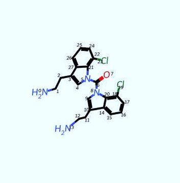 NCCc1cn(C(=O)n2cc(CCN)c3cccc(Cl)c32)c2c(Cl)cccc12